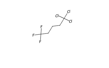 FC(F)(F)CCCC(Cl)(Cl)Cl